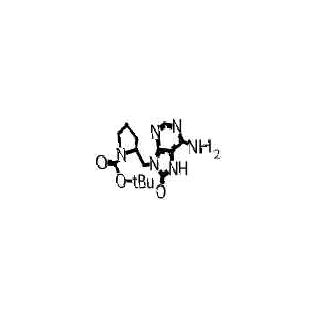 CC(C)(C)OC(=O)N1CCCC1Cn1c(=O)[nH]c2c(N)ncnc21